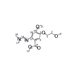 COCCOc1cc(C(=O)OC)c(/N=C/N(C)C)cc1OC